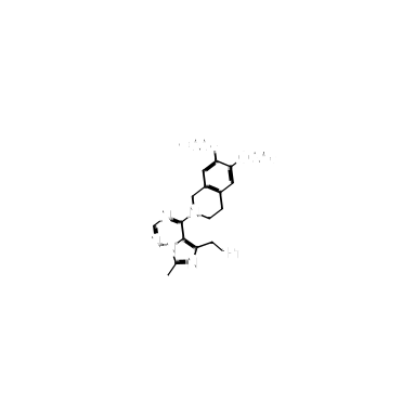 COc1cc2c(cc1OC)CN(c1ncnn3c(C)nc(CC(C)C)c13)CC2